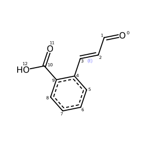 O=C/C=C/c1ccccc1C(=O)O